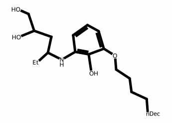 [CH2]CC(CC(O)CO)Nc1cccc(OCCCCCCCCCCCCCC)c1O